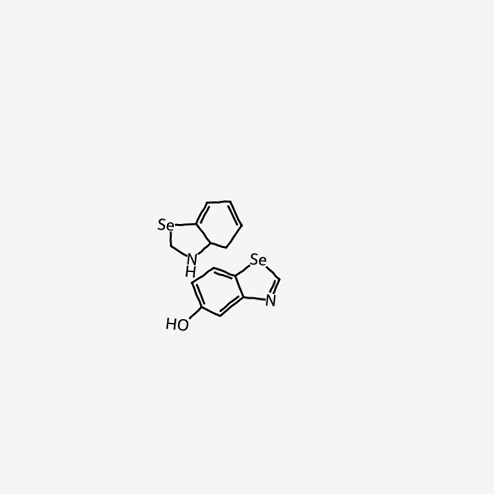 C1=CCC2NC[Se]C2=C1.Oc1ccc2[se]cnc2c1